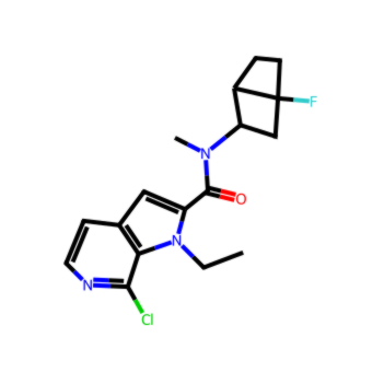 CCn1c(C(=O)N(C)C2CC3(F)CCC23)cc2ccnc(Cl)c21